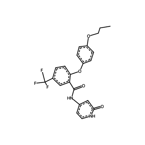 CCCOc1ccc(Oc2ccc(C(F)(F)F)cc2C(=O)Nc2cc[nH]c(=O)c2)cc1